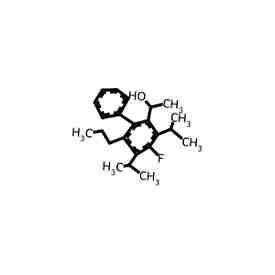 CCCc1c(-c2ccccc2)c(C(C)O)c(C(C)C)c(F)c1C(C)C